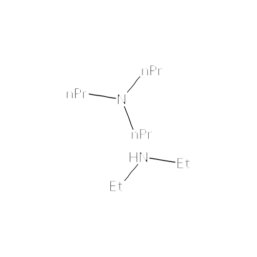 CCCN(CCC)CCC.CCNCC